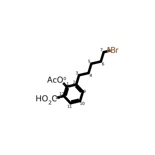 CC(=O)Oc1c(CCCCCBr)cccc1C(=O)O